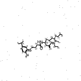 C=Nc1ccc(C(C)C)cc1SCCCC(=O)NC(CCCCCCCC)CC(=C)CN(CC)CC